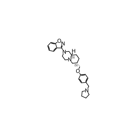 c1ccc2c(N3CCN4C[C@@H](COc5ccc(CN6CCCC6)cc5)CC[C@H]4C3)noc2c1